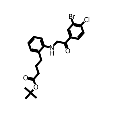 CC(C)(C)OC(=O)CCCc1ccccc1NCC(=O)c1ccc(Cl)c(Br)c1